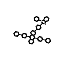 c1ccc(-c2ccc(-c3c4ccccc4c(-c4ccc(-c5ccccc5)cc4)c4cc(-c5ccc(-c6nc7ccccc7n6-c6ccccc6)cc5)ccc34)cc2)cc1